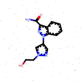 NC(=O)c1nn(-c2cnn(CCO)c2)c2ccccc12